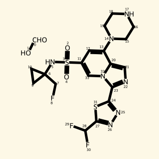 O=CO.O=S(=O)(NC1(CF)CC1)c1cc(N2CCNCC2)c2cnc(-c3nnc(C(F)F)s3)n2c1